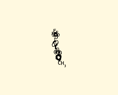 Cc1ccc(S(=O)(=O)OCC2CO[C@@H](COS(=O)(=O)C(F)(F)F)CO2)cc1